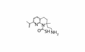 C=C(C)c1ccc2c(n1)N(C(=O)S)C(C)(CCN)CC2